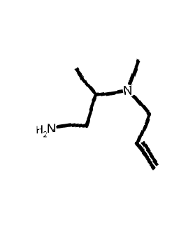 C=CCN(C)C(C)CN